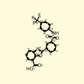 O=C(O)c1cccc2nc(-c3cccc(S(=O)(=O)Nc4ccc(C(F)(F)F)cc4)c3)oc12